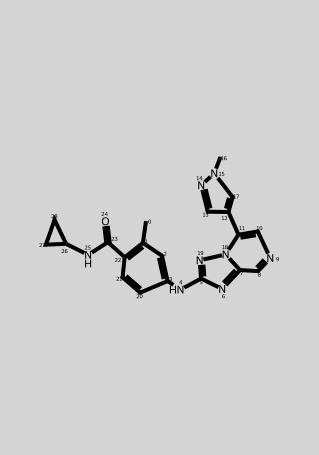 Cc1cc(Nc2nc3cncc(-c4cnn(C)c4)n3n2)ccc1C(=O)NC1CC1